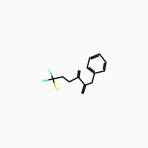 C=C(CCC(F)(F)S)C(=C)Cc1ccccc1